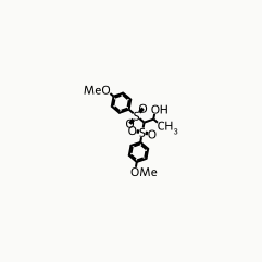 COc1ccc(S(=O)(=O)C(C(C)O)S(=O)(=O)c2ccc(OC)cc2)cc1